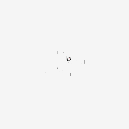 CCCC(=O)OC1O[C@@H]2O[C@]3(C)CC[C@H]4[C@H](C)CCC([C@H]1C)[C@@]24OO3